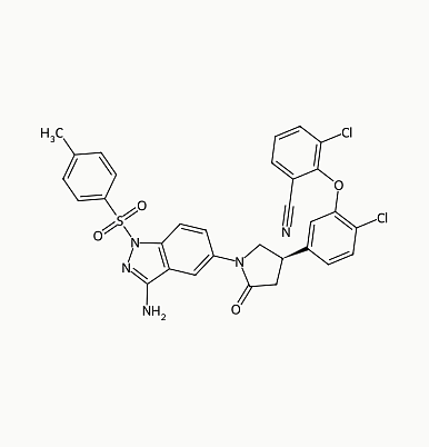 Cc1ccc(S(=O)(=O)n2nc(N)c3cc(N4C[C@@H](c5ccc(Cl)c(Oc6c(Cl)cccc6C#N)c5)CC4=O)ccc32)cc1